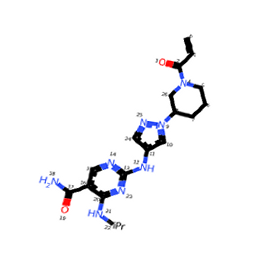 C=CC(=O)N1CCCC(n2cc(Nc3ncc(C(N)=O)c(NC(C)C)n3)cn2)C1